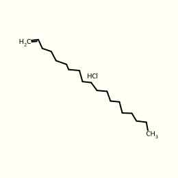 C=CCCCCCCCCCCCCCCCCC.Cl